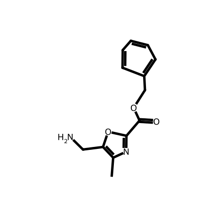 Cc1nc(C(=O)OCc2ccccc2)oc1CN